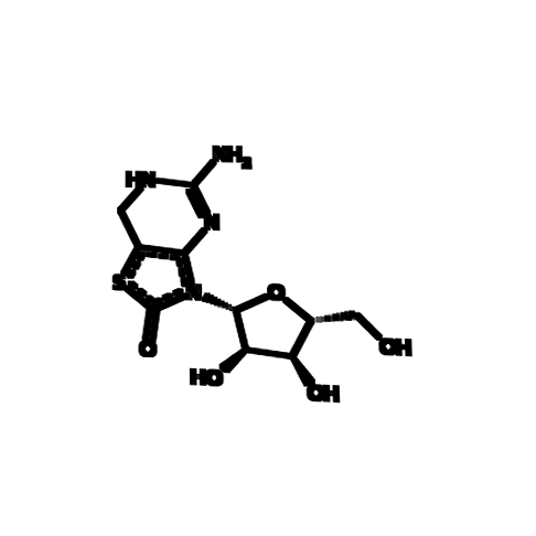 NC1=Nc2c(sc(=O)n2[C@@H]2O[C@H](CO)[C@@H](O)[C@H]2O)CN1